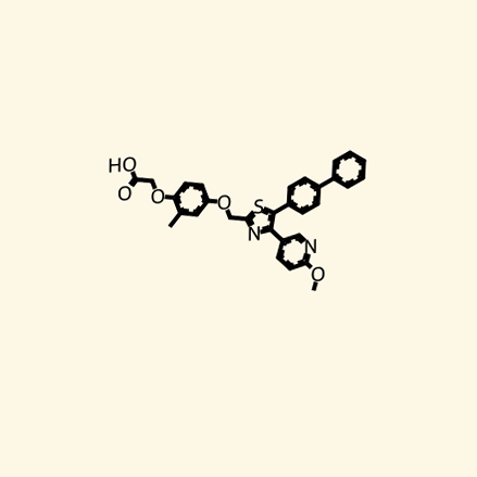 COc1ccc(-c2nc(COc3ccc(OCC(=O)O)c(C)c3)sc2-c2ccc(-c3ccccc3)cc2)cn1